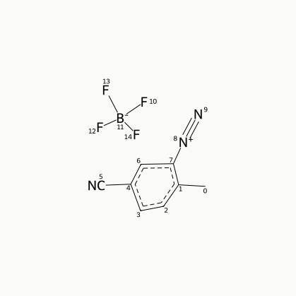 Cc1ccc(C#N)cc1[N+]#N.F[B-](F)(F)F